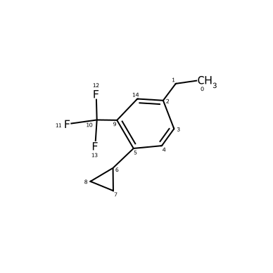 CCc1ccc(C2CC2)c(C(F)(F)F)c1